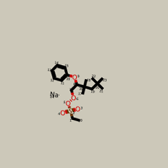 CCS(=O)(=O)OOCC(Oc1ccccc1)C(C)(C)CC(C)(C)C.[Na]